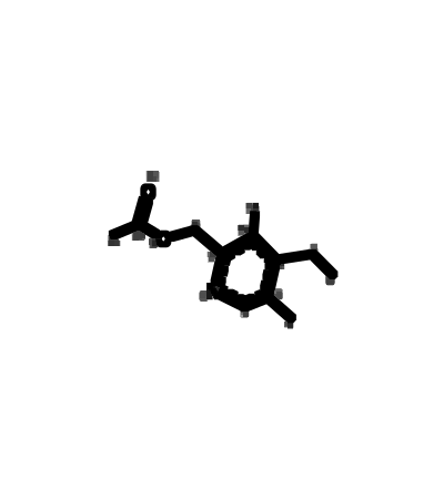 CCc1c(C)cnc(COC(C)=O)c1C